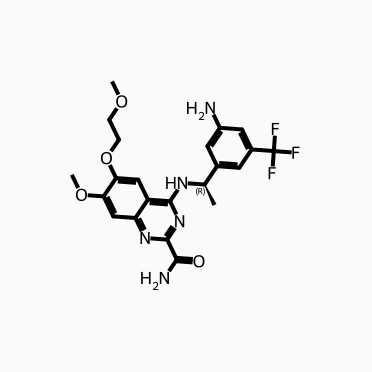 COCCOc1cc2c(N[C@H](C)c3cc(N)cc(C(F)(F)F)c3)nc(C(N)=O)nc2cc1OC